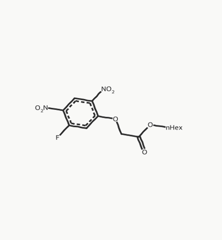 CCCCCCOC(=O)COc1cc(F)c([N+](=O)[O-])cc1[N+](=O)[O-]